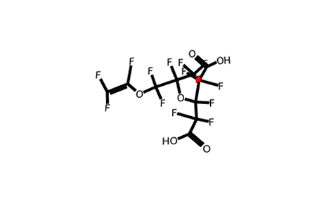 O=C(O)C(F)(F)C(F)(OC(F)(C(F)(F)F)C(F)(F)OC(F)=C(F)F)C(F)(F)C(=O)O